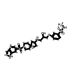 CNS(=O)(=O)c1cccc(OCC(O)CNC2COC3(CCN(S(=O)(=O)c4cnc5cn[nH]c5c4)CC3)C2)c1